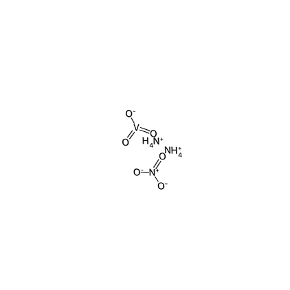 O=[N+]([O-])[O-].[NH4+].[NH4+].[O]=[V](=[O])[O-]